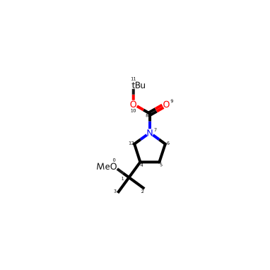 COC(C)(C)C1CCN(C(=O)OC(C)(C)C)C1